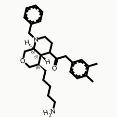 Cc1ccc(CC(=O)C2CCN(Cc3ccccc3)[C@@H]3COC[C@H](CCCCCN)[C@@H]23)cc1C